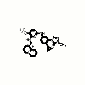 COc1cnc(Nc2ccc(C3CC3)c(-n3nnn(C)c3=O)c2)nc1NC[C@@H]1CCCN2CCCC[C@H]12